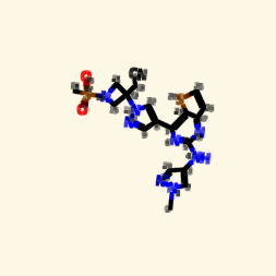 Cn1cc(Nc2nc(-c3cnn(C4(CC#N)CN(S(C)(=O)=O)C4)c3)c3sccc3n2)cn1